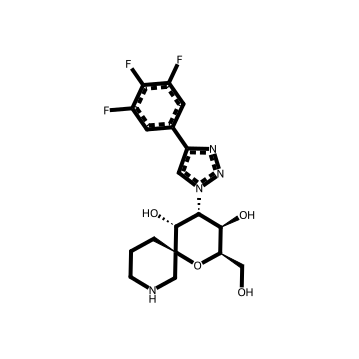 OC[C@H]1O[C@@]2(CCCNC2)[C@H](O)[C@H](n2cc(-c3cc(F)c(F)c(F)c3)nn2)[C@H]1O